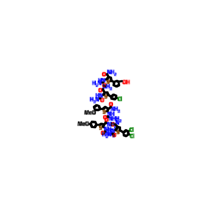 COc1ccc(-c2cc(C(N)=O)c(NC(N)=O)s2)cc1.COc1cccc(-c2cc(C(N)=O)c(NC(N)=O)s2)c1.NC(=O)Nc1sc(-c2ccc(Cl)c(Cl)c2)cc1C(N)=O.NC(=O)Nc1sc(-c2ccc(Cl)cc2)cc1C(N)=O.NC(=O)Nc1sc(-c2cccc(CO)c2)cc1C(N)=O